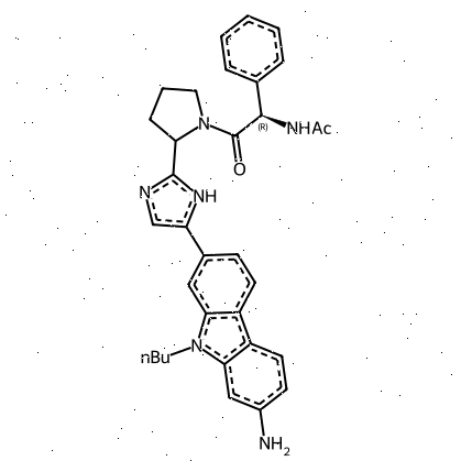 CCCCn1c2cc(N)ccc2c2ccc(-c3cnc(C4CCCN4C(=O)[C@H](NC(C)=O)c4ccccc4)[nH]3)cc21